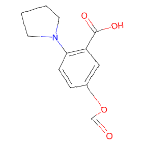 O=COc1ccc(N2CCCC2)c(C(=O)O)c1